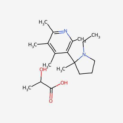 CC(O)C(=O)O.CCN1CCCC1(C)c1c(C)nc(C)c(C)c1C